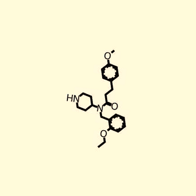 CCOc1ccccc1CN(C(=O)CCc1ccc(OC)cc1)C1CCNCC1